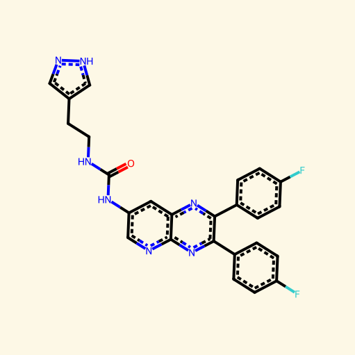 O=C(NCCc1cn[nH]c1)Nc1cnc2nc(-c3ccc(F)cc3)c(-c3ccc(F)cc3)nc2c1